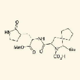 COC(=O)[C@H](C[C@@H]1CCNC1=O)NC(=O)C1CC2(CCCC2)C(C(C)(C)C)N1C(=O)O